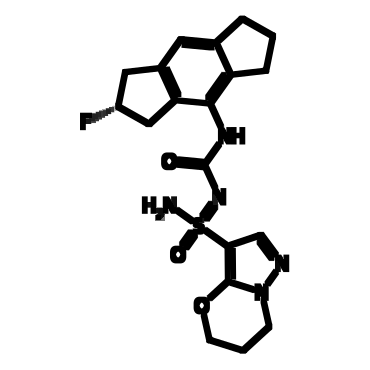 NS(=O)(=NC(=O)Nc1c2c(cc3c1C[C@H](F)C3)CCC2)c1cnn2c1OCCC2